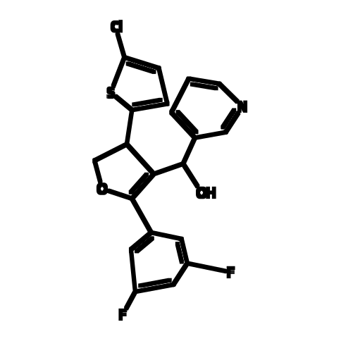 OC(C1=C(c2cc(F)cc(F)c2)OCC1c1ccc(Cl)s1)c1cccnc1